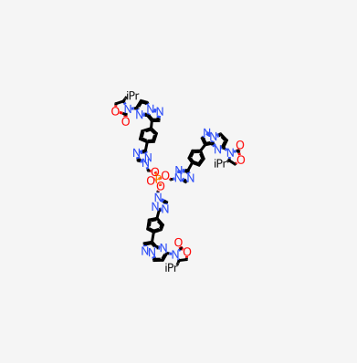 CC(C)C1COC(=O)N1c1ccn2ncc(-c3ccc(-c4ncn(COP(=O)(OCn5cnc(-c6ccc(-c7cnn8ccc(N9C(=O)OCC9C(C)C)nc78)cc6)n5)OCn5cnc(-c6ccc(-c7cnn8ccc(N9C(=O)OCC9C(C)C)nc78)cc6)n5)n4)cc3)c2n1